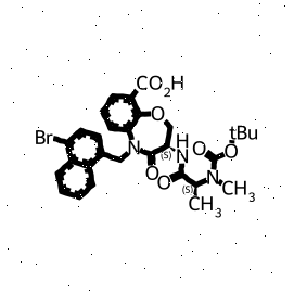 C[C@@H](C(=O)N[C@H]1COc2c(C(=O)O)cccc2N(Cc2ccc(Br)c3ccccc23)C1=O)N(C)C(=O)OC(C)(C)C